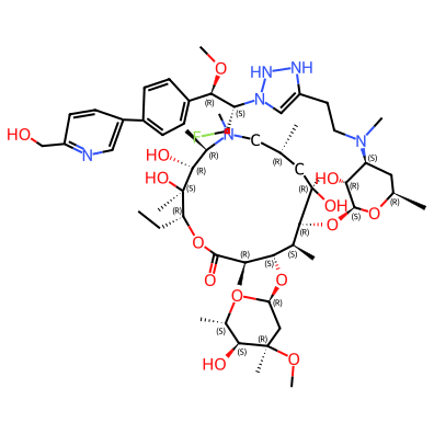 CC[C@H]1OC(=O)[C@H](C)[C@@H](O[C@H]2C[C@@](C)(OC)[C@@H](O)[C@H](C)O2)[C@H](C)[C@@H](O[C@@H]2O[C@H](C)C[C@H](N(C)CCC3=CN([C@H](CF)[C@H](OC)c4ccc(-c5ccc(CO)nc5)cc4)NN3)[C@H]2O)[C@](C)(O)C[C@@H](C)CN(C)[C@H](C)[C@@H](O)[C@]1(C)O